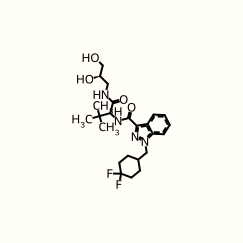 CC(C)(C)C(NC(=O)c1nn(CC2CCC(F)(F)CC2)c2ccccc12)C(=O)NC[C@@H](O)CO